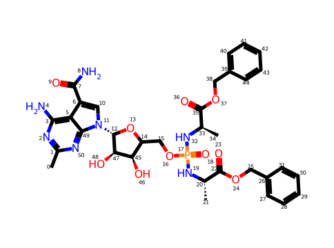 Cc1nc(N)c2c(C(N)=O)cn([C@@H]3OC(COP(=O)(N[C@@H](C)C(=O)OCc4ccccc4)N[C@H](C)C(=O)OCc4ccccc4)[C@@H](O)[C@H]3O)c2n1